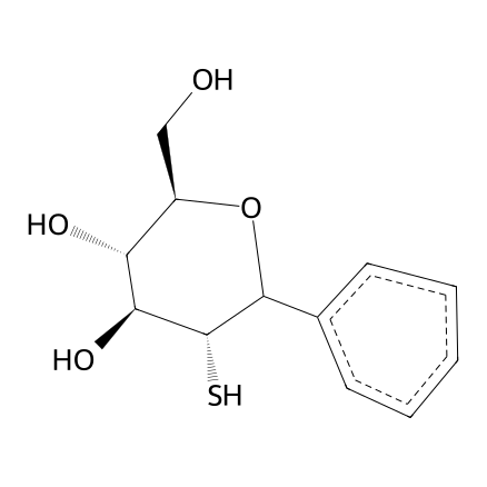 OC[C@H]1OC(c2ccccc2)[C@H](S)[C@@H](O)[C@@H]1O